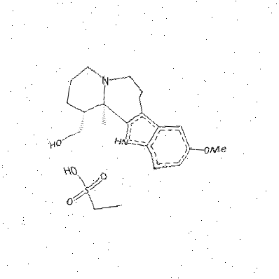 CCS(=O)(=O)O.COc1ccc2[nH]c3c(c2c1)CCN1CCC[C@@H](CO)[C@]31C